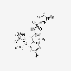 COc1cc(-c2cc(F)cc(C(C)C)c2CC(=O)NS(=O)(=O)c2ccn(C(C)C)n2)ccn1